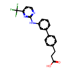 O=C(O)CCc1ccc(-c2cccc(Nc3nccc(C(F)(F)F)n3)c2)cc1